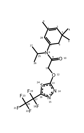 CC1=CC(C)(C)CC(N(C(=O)COc2nnc(C(F)(F)C(F)(F)F)s2)C(C)C)=C1